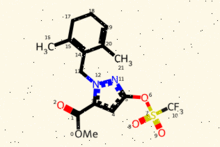 COC(=O)c1cc(OS(=O)(=O)C(F)(F)F)nn1CC1=C(C)CCC=C1C